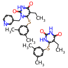 CCc1c(Sc2cc(C)cc(C)c2)[nH]c(=O)[nH]c1=O.CCc1c(Sc2cc(C)cc(C)c2)n(Cc2cccnc2)c(=O)[nH]c1=O